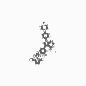 CN1CCN(C2CCC(n3cc(-c4ccc(NS(=O)(=O)[SH]5C(Cl)=CC=C5Cl)c(F)c4)c4c(N)ncnc43)CC2)CC1